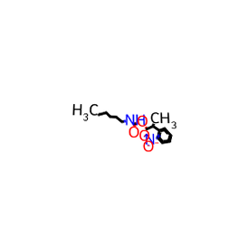 CCCCCCNC(=O)OCC(C)c1ccccc1[N+](=O)[O-]